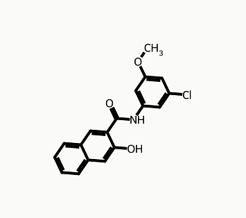 COc1cc(Cl)cc(NC(=O)c2cc3ccccc3cc2O)c1